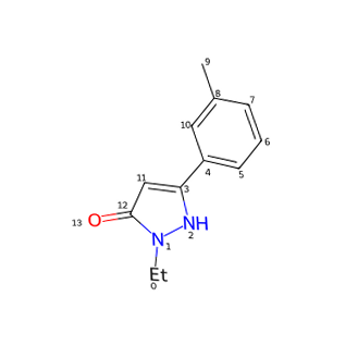 CCn1[nH]c(-c2cccc(C)c2)cc1=O